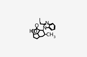 C[C@H]1CC2CCC3OC(=O)C(C1n1c(CI)nc4ccccc41)[C@@]23O